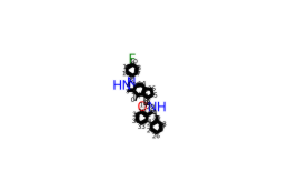 C[C@H]1C2=CNN(c3ccc(F)cc3)C2=CC2=C1[C@@H](C(=O)N[C@H](Cc1ccccc1)c1ccccc1)CC2